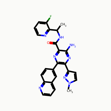 CC(NC(=O)c1nc(-c2ccc3ncccc3c2)c(-c2ccn(C)n2)nc1N)c1ncccc1F